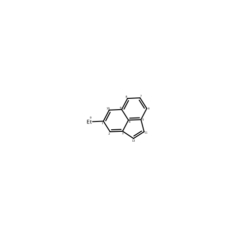 CCc1cc2c3c(cccc3c1)C=C2